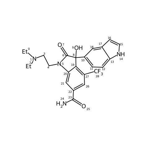 CCN(CC)CCN1C(=O)C(O)(c2ccc3[nH]ccc3c2)c2c1cc(C(N)=O)cc2C(F)(F)F